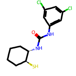 O=C(Nc1cc(Cl)cc(Cl)c1)N[C@H]1CCCC[C@@H]1S